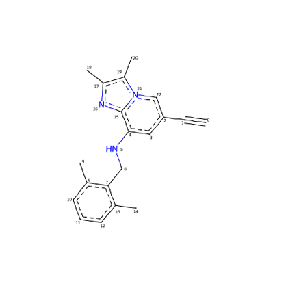 C#Cc1cc(NCc2c(C)cccc2C)c2nc(C)c(C)n2c1